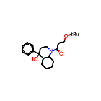 CC(C)(C)OCCC(=O)N1CCC(O)(c2ccccc2)C2CCCCC21